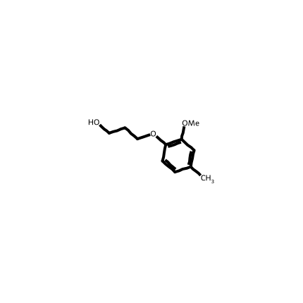 COc1cc(C)ccc1OCCCO